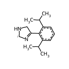 CC(C)c1cccc(C(C)C)c1C1=N[C]NC1